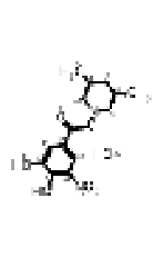 CC1CC(C)CN(CC(=O)c2cc(O)c(O)c([N+](=O)[O-])c2)C1.Cl